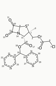 C[C@@]1(COC(=O)CCl)SC2C(=O)C(=O)N2[C@H]1C(=O)OC(c1ccccc1)c1ccccc1